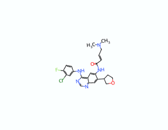 CN(C)C/C=C/C(=O)Nc1cc2c(Nc3ccc(F)c(Cl)c3)ncnc2cc1C1CCOC1